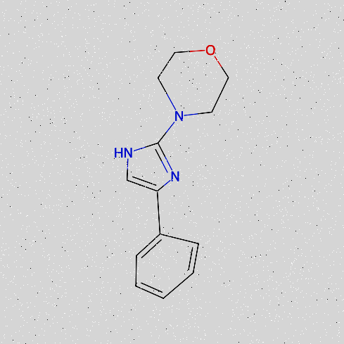 c1ccc(-c2c[nH]c(N3CCOCC3)n2)cc1